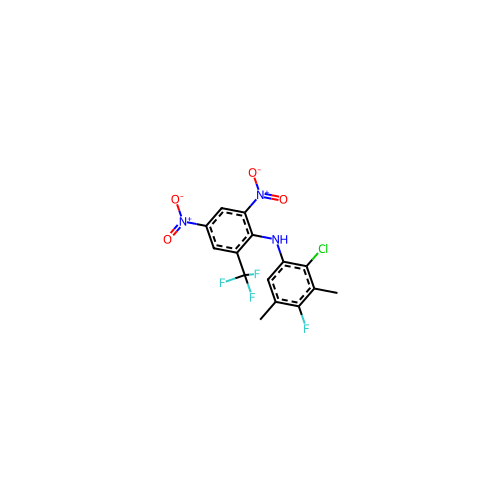 Cc1cc(Nc2c([N+](=O)[O-])cc([N+](=O)[O-])cc2C(F)(F)F)c(Cl)c(C)c1F